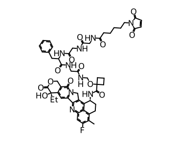 CC[C@@]1(O)C(=O)OCc2c1cc1n(c2=O)Cc2c-1nc1cc(F)c(C)c3c1c2[C@@H](NC(=O)C1(OCNC(=O)CNC(=O)C(Cc2ccccc2)NC(=O)CNC(=O)CNC(=O)CCCCCN2C(=O)C=CC2=O)CCC1)CC3